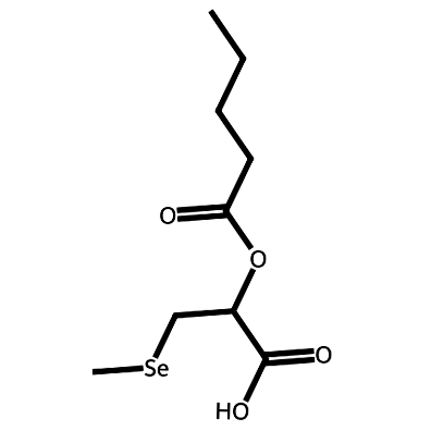 CCCCC(=O)OC(C[Se]C)C(=O)O